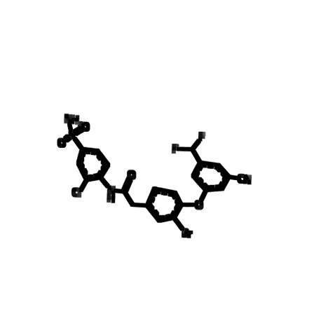 N#Cc1cc(Oc2ccc(CC(=O)Nc3ccc(S(N)(=O)=O)cc3Cl)cc2Br)cc(C(F)F)c1